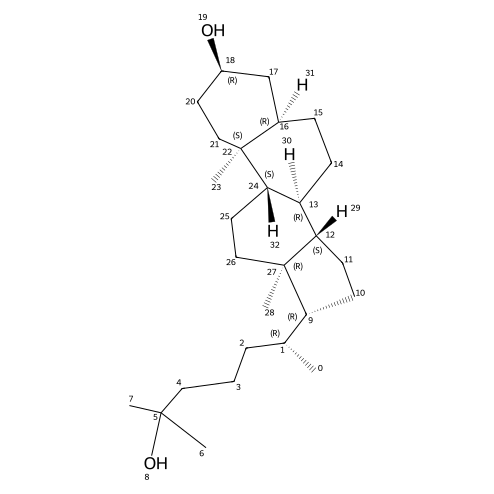 C[C@H](CCCC(C)(C)O)[C@H]1CC[C@H]2[C@@H]3CC[C@@H]4C[C@H](O)CC[C@]4(C)[C@H]3CC[C@]12C